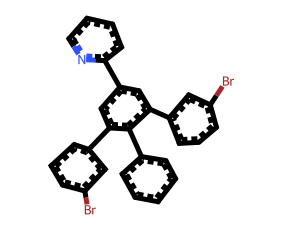 Brc1cccc(-c2cc(-c3ccccn3)cc(-c3cccc(Br)c3)c2-c2ccccc2)c1